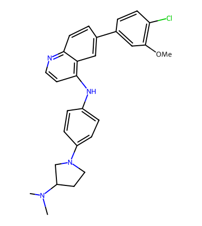 COc1cc(-c2ccc3nccc(Nc4ccc(N5CCC(N(C)C)C5)cc4)c3c2)ccc1Cl